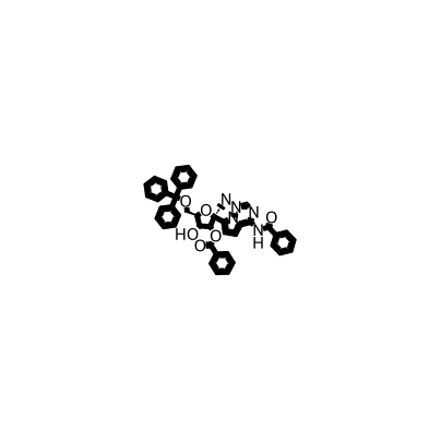 N#C[C@@]1(c2ccc3c(NC(=O)c4ccccc4)ncnn23)O[C@H](COC(c2ccccc2)(c2ccccc2)c2ccccc2)C(O)C1OC(=O)c1ccccc1